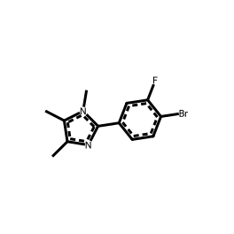 Cc1nc(-c2ccc(Br)c(F)c2)n(C)c1C